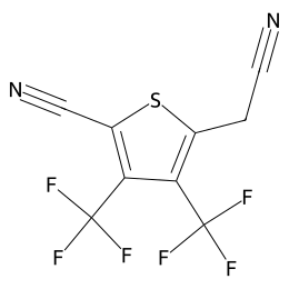 N#CCc1sc(C#N)c(C(F)(F)F)c1C(F)(F)F